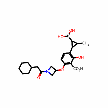 CC1C(B(O)O)C1c1ccc(OC2CN(C(=O)CC3CCCCC3)C2)c(C(=O)O)c1O